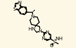 C[C@H](c1ccc2scnc2c1)N1CCC2(CC1)CN(c1ncc(S(C)(=N)=O)cn1)CN2